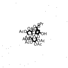 CCCOC(=O)c1cc(O)c(OC2O[C@H](COC(C)=O)[C@@H](OC(C)=O)[C@H](OC(C)=O)[C@H]2OC(C)=O)c(OC2O[C@H](COC(C)=O)[C@@H](OC(C)=O)[C@H](OC(C)=O)[C@H]2OC(C)=O)c1